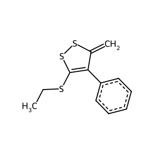 C=C1SSC(SCC)=C1c1ccccc1